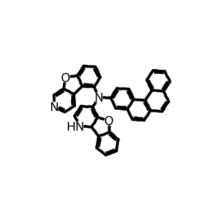 C1=CC(N(c2ccc3c(ccc4ccc5ccccc5c43)c2)c2cccc3oc4cnccc4c23)=C2Oc3ccccc3C2N1